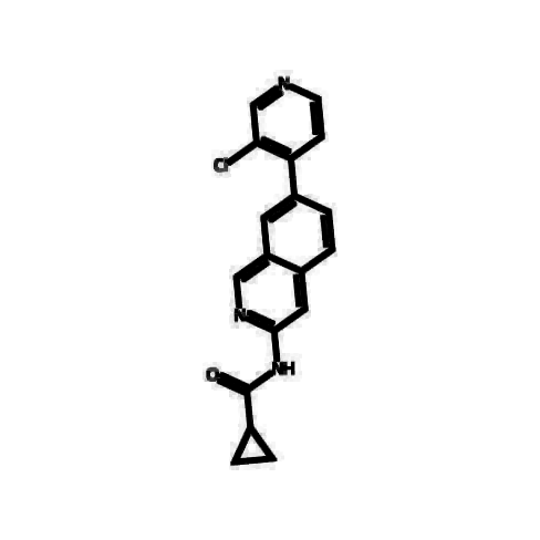 O=C(Nc1cc2ccc(-c3ccncc3Cl)cc2cn1)C1CC1